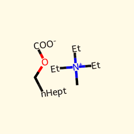 CCCCCCCCOC(=O)[O-].CC[N+](C)(CC)CC